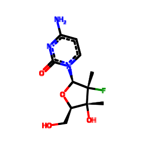 C[C@]1(F)[C@H](n2ccc(N)nc2=O)O[C@H](CO)[C@@]1(C)O